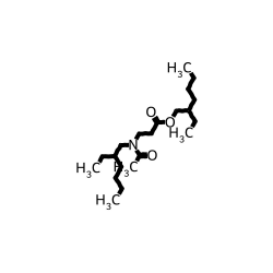 CCCCC(CC)COC(=O)CCN(CC(CC)CCCC)C(C)=O